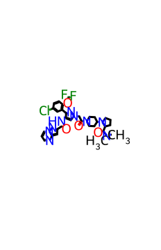 CN(C)C(=O)C1CCCN1C1CCN(C(=O)Cn2cc(NC(=O)c3cc4ncccn4n3)c(-c3cc(Cl)ccc3OC(F)F)n2)CC1